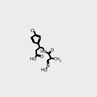 CC(C=NO)C(=O)NCC(CC(=O)O)c1ccc(Cl)cc1